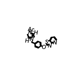 CC(=O)N1C[C@@H]2C[C@H]1CN2Cc1ccc(Oc2nc3ncccc3s2)cc1